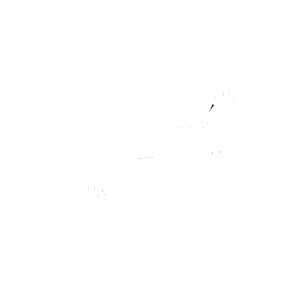 CCCC[S@@+](C)[O-]